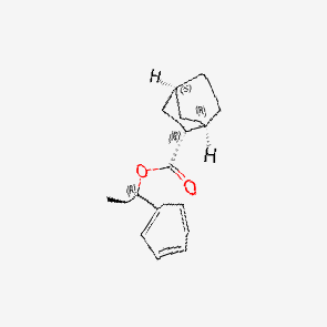 C[C@@H](OC(=O)[C@@H]1C[C@H]2CC[C@@H]1C2)c1ccccc1